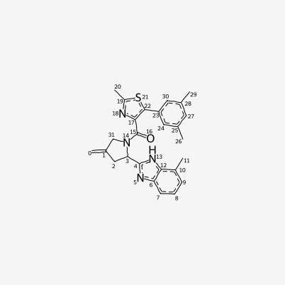 C=C1CC(c2nc3cccc(C)c3[nH]2)N(C(=O)c2nc(C)sc2-c2cc(C)cc(C)c2)C1